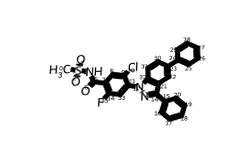 CS(=O)(=O)NC(=O)c1cc(Cl)c(-n2nc(-c3ccccc3)c3cc(-c4ccccc4)ccc32)cc1F